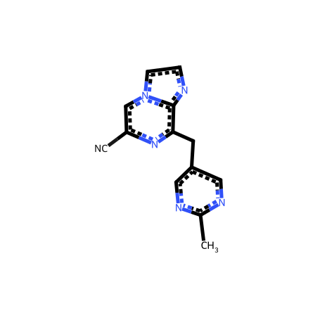 Cc1ncc(Cc2nc(C#N)cn3ccnc23)cn1